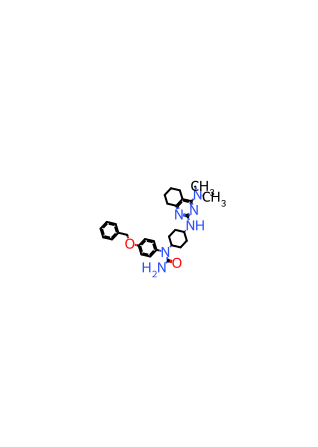 CN(C)c1nc(N[C@H]2CC[C@@H](N(C(N)=O)c3ccc(OCc4ccccc4)cc3)CC2)nc2c1CCCC2